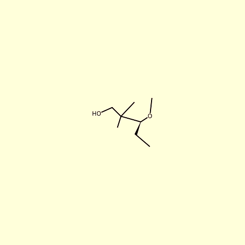 CC[C@H](OC)C(C)(C)CO